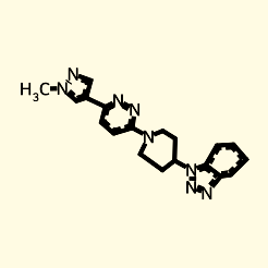 Cn1cc(-c2ccc(N3CCC(n4nnc5ccccc54)CC3)nn2)cn1